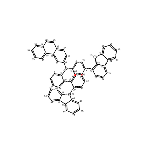 c1ccc(N(c2ccc(-c3cccc4c3oc3ccccc34)cc2)c2ccc3ccc4ccccc4c3c2)c(-c2ccccc2-n2c3ccccc3c3ccccc32)c1